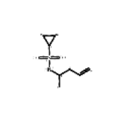 C=CCC(C)NS(=O)(=O)C1CC1